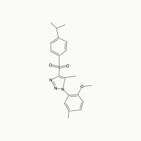 COc1ccc(C)cc1-n1nnc(S(=O)(=O)c2ccc(C(C)C)cc2)c1C